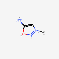 CC(=O)[n+]1cc([NH-])on1